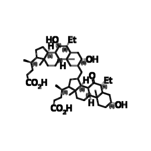 CC[C@@H]1C2C[C@H](O)C(CC3CC([C@H](C)CCC(=O)O)C4(C)CC[C@H]5C(C(=O)[C@H](CC)C6C[C@H](O)CCC65C)[C@H]34)CC2(C)[C@H]2CCC3(C)C([C@H](C)CCC(=O)O)CC[C@H]3C2[C@@H]1O